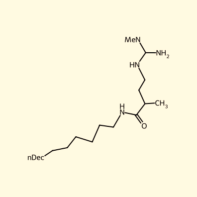 CCCCCCCCCCCCCCCCNC(=O)C(C)CCNC(N)NC